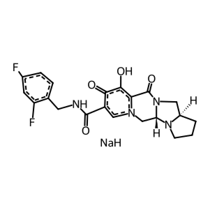 O=C(NCc1ccc(F)cc1F)c1cn2c(c(O)c1=O)C(=O)N1C[C@H]3CCCN3[C@@H]1C2.[NaH]